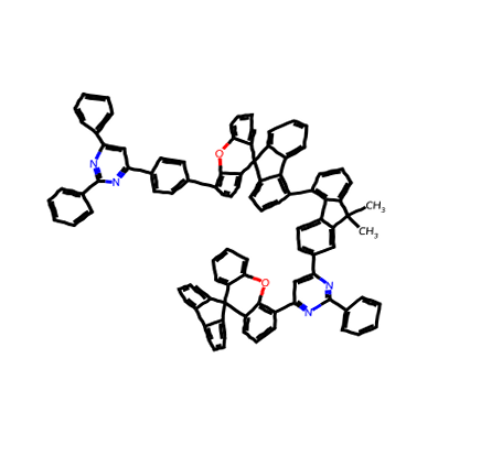 CC1(C)c2cc(-c3cc(-c4cccc5c4Oc4ccccc4C54c5ccccc5-c5ccccc54)nc(-c4ccccc4)n3)ccc2-c2c(-c3cccc4c3-c3ccccc3C43c4ccccc4Oc4c(-c5ccc(-c6cc(-c7ccccc7)nc(-c7ccccc7)n6)cc5)cccc43)cccc21